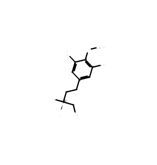 CCCCCOc1c(Br)cc(CC[C@@](C)(N)CO)cc1Br